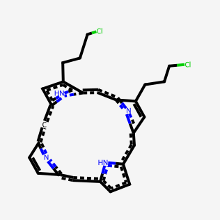 ClCCCC1=Cc2cc3ccc(cc4nc(cc5cc(CCCCl)c(cc1n2)[nH]5)C=C4)[nH]3